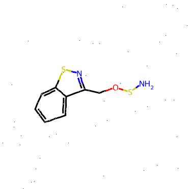 NSOCc1nsc2ccccc12